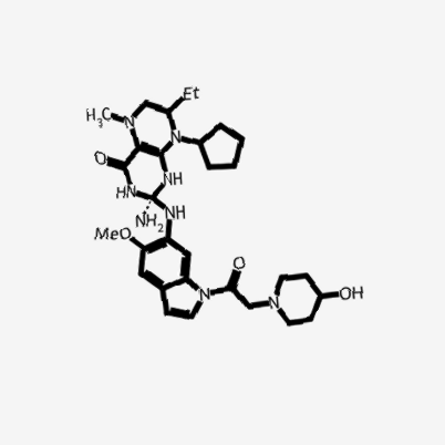 CCC1CN(C)C2=C(N[C@@](N)(Nc3cc4c(ccn4C(=O)CN4CCC(O)CC4)cc3OC)NC2=O)N1C1CCCC1